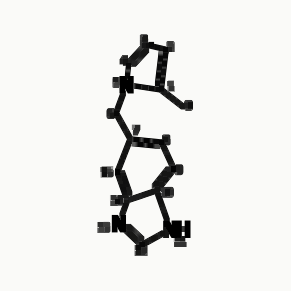 Cc1c[c]cn1Cc1ccc2[nH]cnc2c1